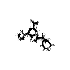 O=C(c1cnc2c(-n3cncn3)cc(C(F)F)cn12)N1C2CCC1COC2